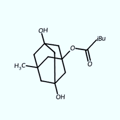 CCC(C)C(=O)OC12CC3(C)CC(O)(CC(O)(C3)C1)C2